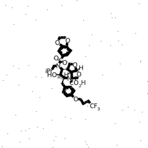 CC(C)CN(C([C@H](O)[C@H](Cc1ccc(OCCCC(F)(F)F)cc1)NC(=O)O)[C@@H]1CO[C@H]2OCC[C@H]21)S(=O)(=O)c1ccc2c(c1)OCCO2